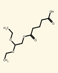 CCOC(COC(=O)CCCC(=O)O)OCC